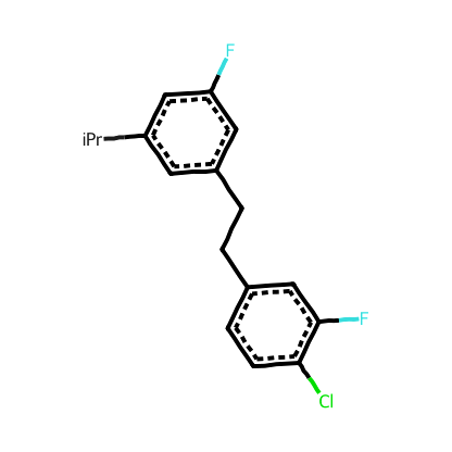 CC(C)c1cc(F)cc(CCc2ccc(Cl)c(F)c2)c1